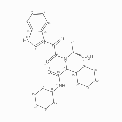 C[C@@H](C(=O)O)N(C(=O)C(=O)c1c[nH]c2ccccc12)C(C(=O)NC1CCCCC1)C1CCCCC1